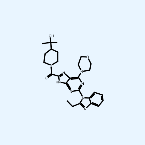 CCc1nc2ccccc2n1-c1nc(N2CCOCC2)c2nc(C(=O)N3CCC(C(C)(C)O)CC3)[nH]c2n1